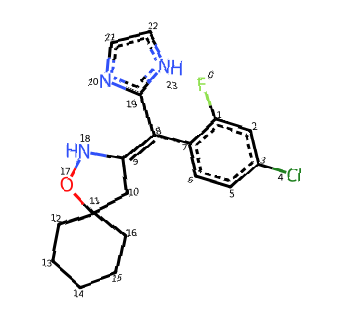 Fc1cc(Cl)ccc1/C(=C1\CC2(CCCCC2)ON1)c1ncc[nH]1